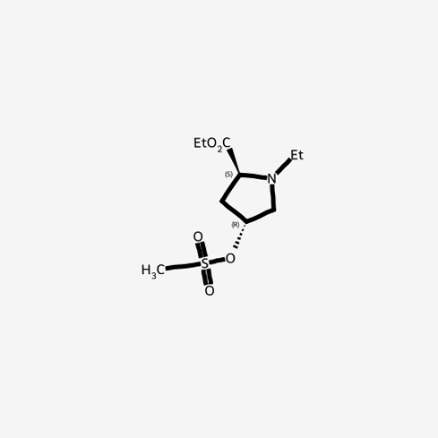 CCOC(=O)[C@@H]1C[C@@H](OS(C)(=O)=O)CN1CC